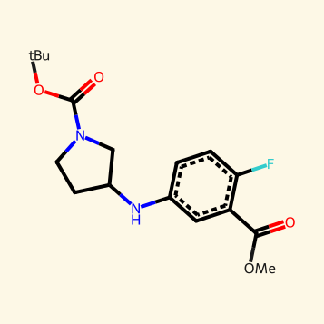 COC(=O)c1cc(NC2CCN(C(=O)OC(C)(C)C)C2)ccc1F